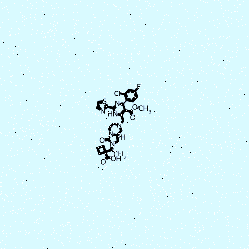 COC(=O)C1=C(CN2CCN3C(=O)N([C@@H](C)C4(C(=O)O)CCC4)C[C@@H]3C2)NC(c2nccs2)=N[C@H]1c1ccc(F)cc1Cl